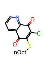 CCCCCCCCSC1=C(Cl)C(=O)c2ncccc2C1=O